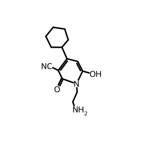 N#Cc1c(C2CCCCC2)cc(O)n(CCN)c1=O